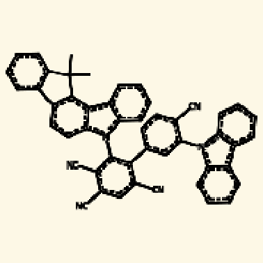 CC1(C)c2ccccc2-c2ccc3c(c21)c1ccccc1n3-c1c(C#N)c(C#N)cc(C#N)c1-c1ccc(C#N)c(-n2c3ccccc3c3ccccc32)c1